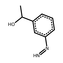 CC(O)c1cccc(N=N)c1